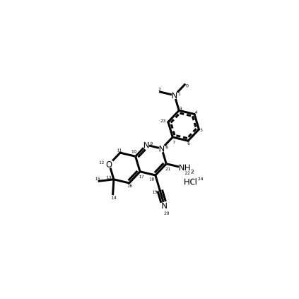 CN(C)c1cccc(N2N=C3COC(C)(C)C=C3C(C#N)=C2N)c1.Cl